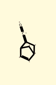 O=C=C1CC2C=CC1C2